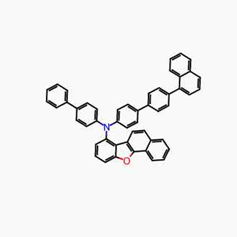 c1ccc(-c2ccc(N(c3ccc(-c4ccc(-c5cccc6ccccc56)cc4)cc3)c3cccc4oc5c6ccccc6ccc5c34)cc2)cc1